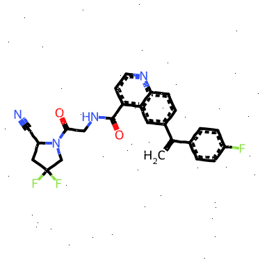 C=C(c1ccc(F)cc1)c1ccc2nccc(C(=O)NCC(=O)N3CC(F)(F)CC3C#N)c2c1